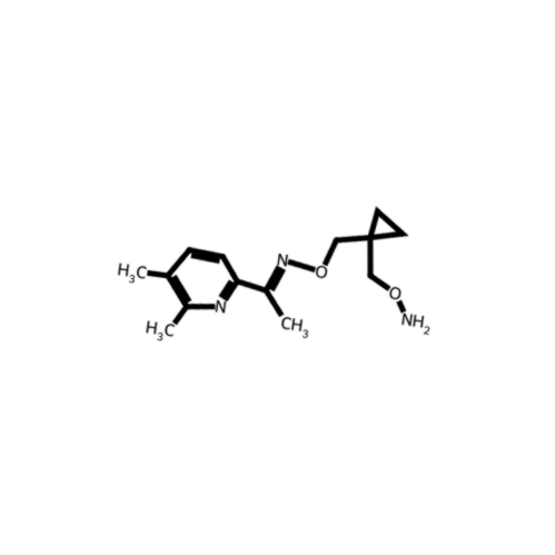 CC(=NOCC1(CON)CC1)c1ccc(C)c(C)n1